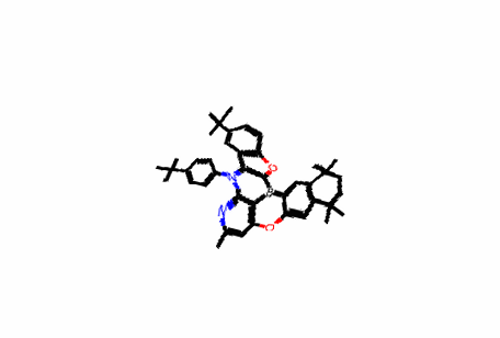 Cc1cc2c3c(n1)N(c1ccc(C(C)(C)C)cc1)c1c(oc4ccc(C(C)(C)C)cc14)B3c1cc3c(cc1O2)C(C)(C)CCC3(C)C